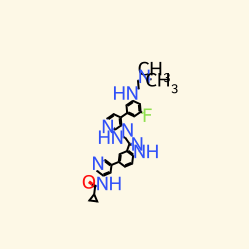 CN(C)CCNc1cc(F)cc(-c2ccnc3[nH]c(-c4n[nH]c5ccc(-c6cncc(NC(=O)C7CC7)c6)cc45)nc23)c1